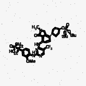 CCC(CC)(c1ccc(Nc2ncc(C(F)(F)F)c(Nc3ccc([C@H]4CC[C@H](OP(=O)(OC(C)(C)C)OC(C)(C)C)CC4)c4c3C(=O)N(C)C4)n2)c(OC)c1)P(=O)(O)O